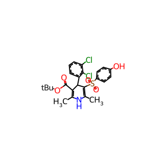 CC1=C(C(=O)OC(C)(C)C)C(c2cccc(Cl)c2Cl)C(S(=O)(=O)c2ccc(O)cc2)=C(C)N1